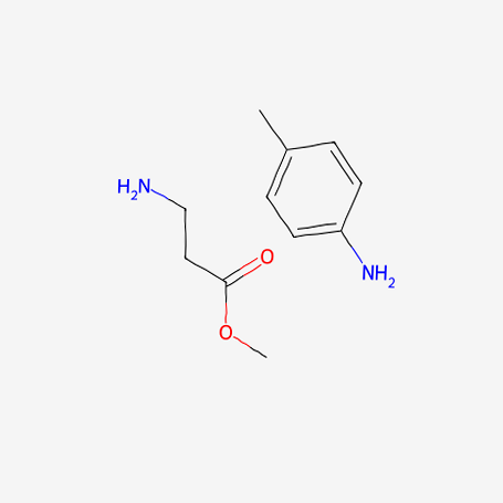 COC(=O)CCN.Cc1ccc(N)cc1